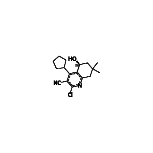 CC1(C)Cc2nc(Cl)c(C#N)c(C3CCCC3)c2[C@@H](O)C1